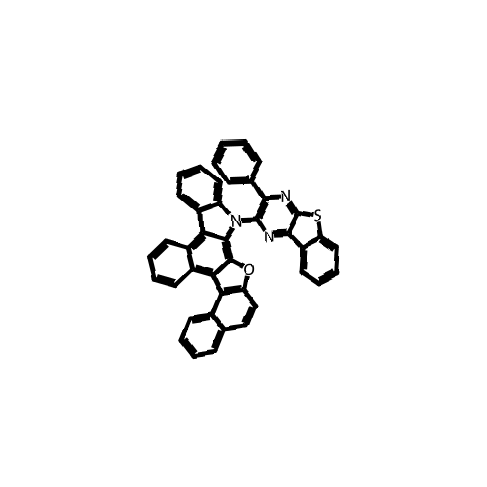 c1ccc(-c2nc3sc4ccccc4c3nc2-n2c3ccccc3c3c4ccccc4c4c(oc5ccc6ccccc6c54)c32)cc1